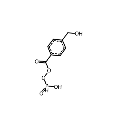 O=C(OO[PH](=O)O)c1ccc(CO)cc1